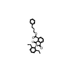 CCc1cccc(CC)c1N1C(=O)c2cccc(C(=O)OCCCc3ccccc3)c2C1=O